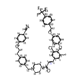 Cc1cc(/C=C/C(=O)N2CCN(Cc3ccc(CCOc4ccc(C#N)cc4)cc3)CC2)cc(Cl)c1Oc1ccc(OCc2ccc(C(F)(F)F)cc2)cn1